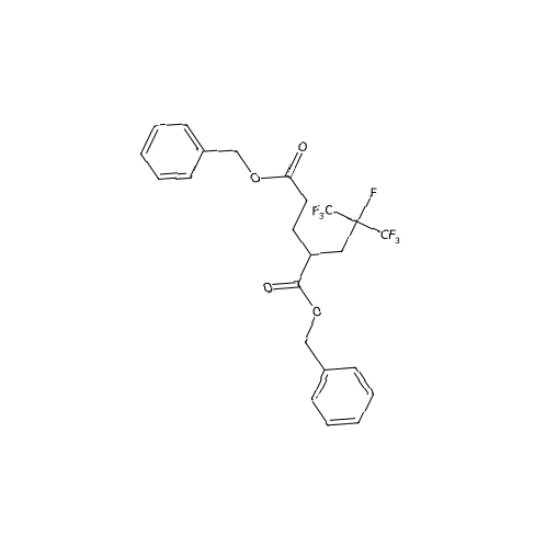 O=C(CCC(CC(F)(C(F)(F)F)C(F)(F)F)C(=O)OCc1ccccc1)OCc1ccccc1